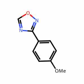 COc1ccc(-c2ncon2)cc1